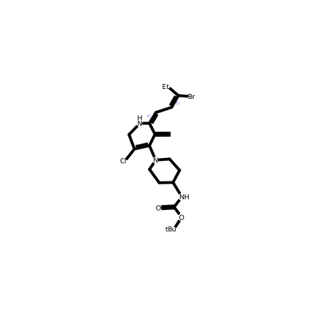 C=C1C(N2CCC(NC(=O)OC(C)(C)C)CC2)=C(Cl)CN/C1=C/C=C(/Br)CC